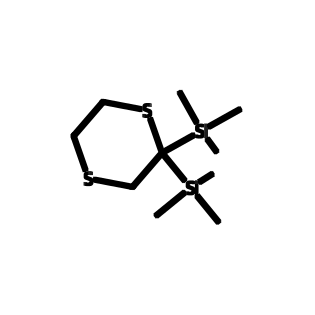 C[Si](C)(C)C1([Si](C)(C)C)CSCCS1